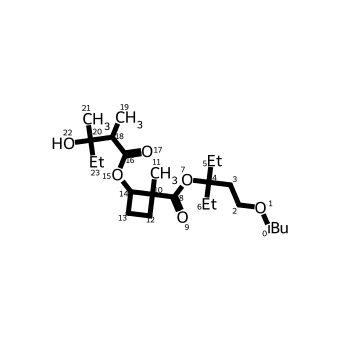 CCC(C)OCCC(CC)(CC)OC(=O)C1(C)CCC1OC(=O)C(C)C(C)(O)CC